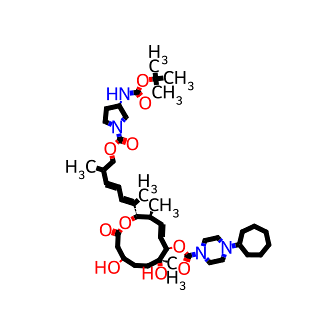 C/C(=C\C=C\C(C)COC(=O)N1CC[C@H](NC(=O)OC(C)(C)C)C1)[C@H]1OC(=O)C[C@@H](O)CC[C@](C)(O)[C@@H](OC(=O)N2CCN(C3CCCCCC3)CC2)/C=C/[C@@H]1C